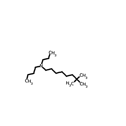 CCCCN(CCC)CCCCCCC(C)(C)C